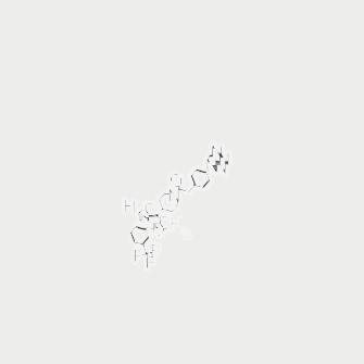 CC(C)(C1CCN(C(=O)Cc2ccc(-n3cnnn3)cc2)CC1)S(=O)(=O)c1cccc(C(F)(F)F)c1